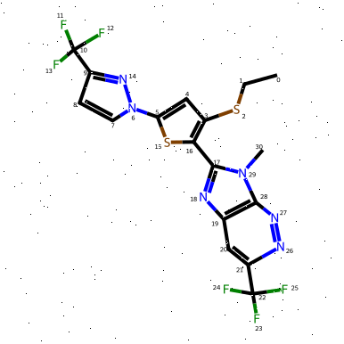 CCSc1cc(-n2ccc(C(F)(F)F)n2)sc1-c1nc2cc(C(F)(F)F)nnc2n1C